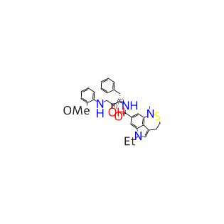 CCn1cc2c3c(cc(C(=O)N[C@@H](Cc4ccccc4)[C@H](O)CNc4ccccc4OC)cc31)N(C)SCC2